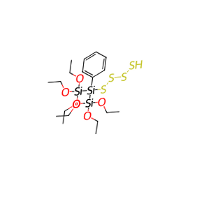 CCO[Si](OCC)(OCC)[Si](SSSS)(c1ccccc1)[Si](OCC)(OCC)OCC